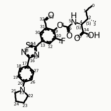 CC[C@H](C)[C@H](NC(=O)Oc1c(F)cc(-c2nc(-c3ccc(N4CCCC4)cc3)ns2)cc1C=O)C(=O)O